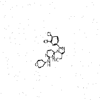 N#CCc1cnc(-c2ccc(Cl)c(Cl)c2)n1-c1ccnc(NC2CCOCC2)n1